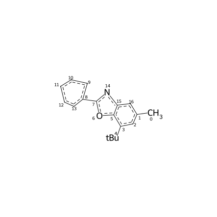 Cc1cc(C(C)(C)C)c2oc(-c3ccccc3)nc2c1